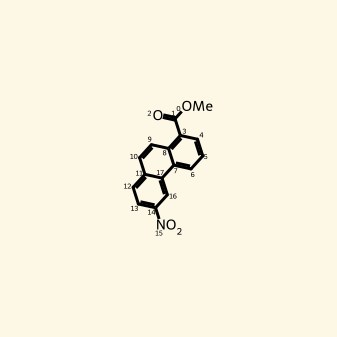 COC(=O)c1cccc2c1ccc1ccc([N+](=O)[O-])cc12